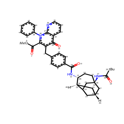 COC(=O)c1c(Cc2ccc(C(=O)N[C@@H]3CC[C@@]4(NC(=O)C(C)(C)C)CC5C[C@H](C[C@@H]53)C4)cc2)c(=O)c2cccnc2n1-c1ccccc1